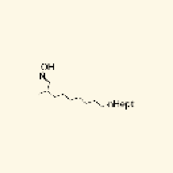 CCCCCCCCCCCCCCC(C)C=NO